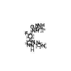 CN(C)c1ccc(-c2nc3c(-c4ccc(CNC(=O)C5=NNC(C(C)(C)C)O5)c(F)c4)ccnc3[nH]2)nc1